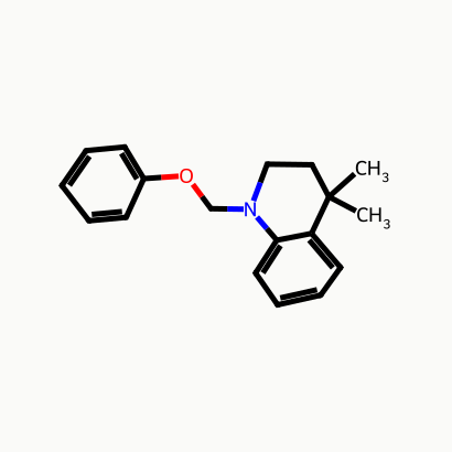 CC1(C)CCN(COc2ccccc2)c2ccccc21